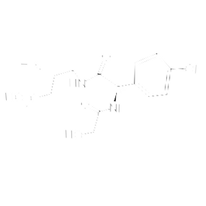 C[C@H](CNC(=O)[C@H](NC(=O)CO)c1ccc(O)cc1)CC(=O)O